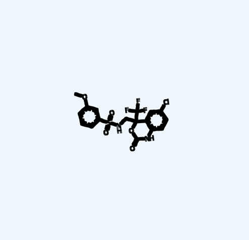 COc1cccc(S(=O)(=O)NCC2(C(F)(F)F)OC(=O)Nc3ccc(Cl)cc32)c1